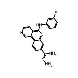 N/N=C(\N)c1ccc2c(c1)nc(Nc1cccc(F)c1)c1ccncc12